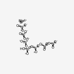 O=[N+]([O-])O.O=[N+]([O-])[O-].O=[N+]([O-])[O-].O=[N+]([O-])[O-].O=[N+]([O-])[O-].O=[N+]([O-])[O-].O=[N+]([O-])[O-].[Mo+4].[Ni+2]